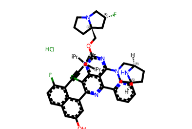 CC(C)[Si](C#Cc1c(F)ccc2cc(O)cc(-c3nc(-c4ccccn4)c4c(N5C[C@H]6CC[C@@H](C5)N6)nc(OC[C@@]56CCCN5C[C@H](F)C6)nc4c3F)c12)(C(C)C)C(C)C.Cl